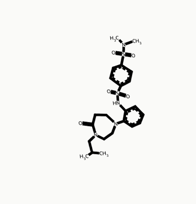 CC(C)CN1CCN(c2ccccc2NS(=O)(=O)c2ccc(S(=O)(=O)N(C)C)cc2)CCC1=O